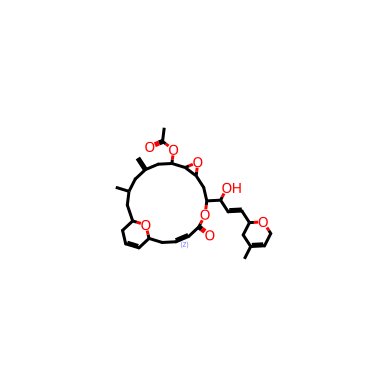 C=C1CC(C)CC2CC=CC(C/C=C\C(=O)OC(C(O)C=CC3CC(C)=CCO3)CC3OC3C(OC(C)=O)C1)O2